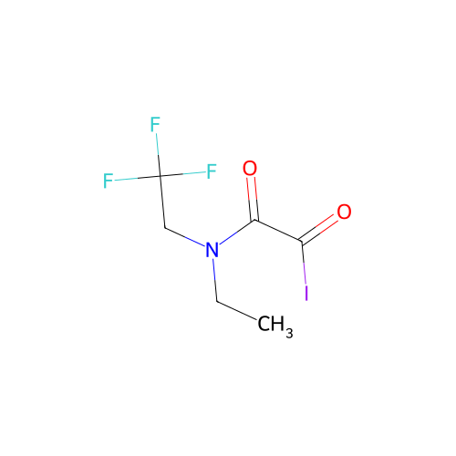 CCN(CC(F)(F)F)C(=O)C(=O)I